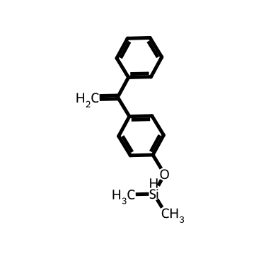 C=C(c1ccccc1)c1ccc(O[SiH](C)C)cc1